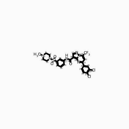 CN1CCN(S(=O)(=O)c2cccc(NC(=O)c3cnn4c(C(F)(F)F)cc(-c5ccc(Cl)c(Cl)c5)nc34)c2)CC1